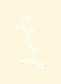 O=C(O)CCC(=O)O.[LiH]